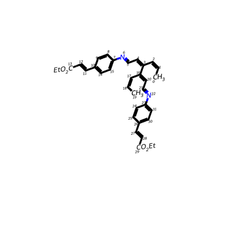 C\C=C/C(=C/C=N/c1ccc(/C=C/C(=O)OCC)cc1)C(/C=C\C)=C/C=N/c1ccc(/C=C/C(=O)OCC)cc1